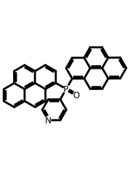 O=P(c1ccncc1)(c1ccc2ccc3cccc4ccc1c2c34)c1ccc2ccc3cccc4ccc1c2c34